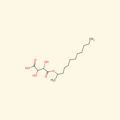 CCCCCCCCCCC(C)OC(=O)C(O)C(O)C(=O)O